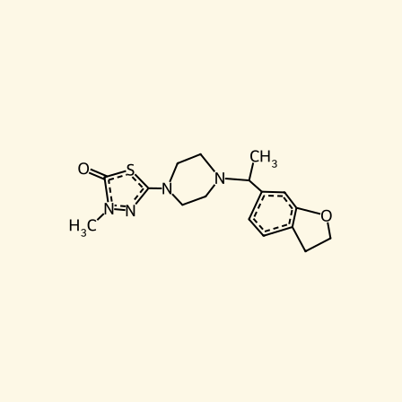 CC(c1ccc2c(c1)OCC2)N1CCN(c2nn(C)c(=O)s2)CC1